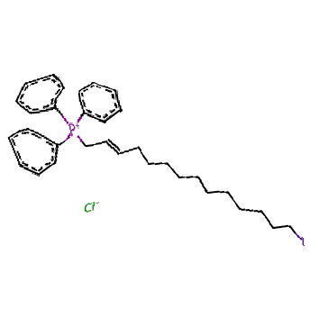 ICCCCCCCCCCCC=CC[P+](c1ccccc1)(c1ccccc1)c1ccccc1.[Cl-]